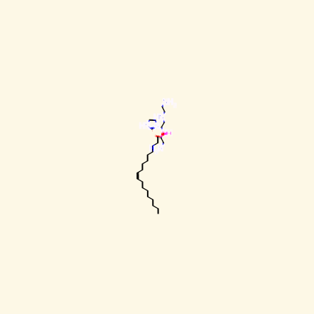 C1=NCCN1.CCCCCCCC/C=C\CCCCCCCC(=O)O.NCCNCCNCCN